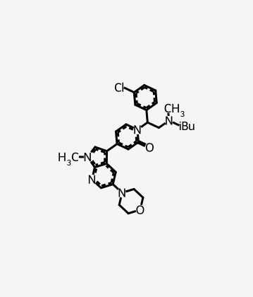 CCC(C)N(C)CC(c1cccc(Cl)c1)n1ccc(-c2cn(C)c3ncc(N4CCOCC4)cc23)cc1=O